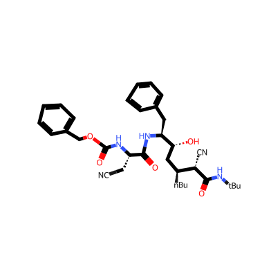 CCCC[C@@H](C[C@@H](O)[C@H](Cc1ccccc1)NC(=O)[C@H](CC#N)NC(=O)OCc1ccccc1)[C@H](C#N)C(=O)NC(C)(C)C